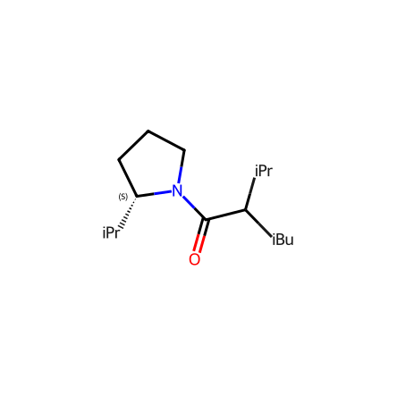 CCC(C)C(C(=O)N1CCC[C@H]1C(C)C)C(C)C